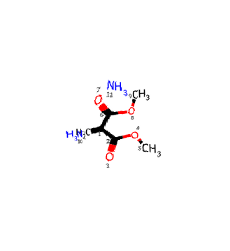 C=C(C(=O)OC)C(=O)OC.N.N